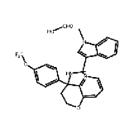 Cn1cc(C(=O)NC2(c3ccc(OC(F)(F)F)cc3)CCOc3cccnc32)c2ccccc21.O=CO